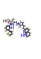 O=C(NC(CCN1CCC(CCc2ccc3c(n2)NCCC3)C1)C(=O)O)c1cccc(-c2cccs2)c1